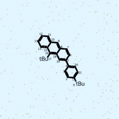 CC(C)(C)c1ccc(-c2ccc3cc4ccccc4c(C(C)(C)C)c3c2)cc1